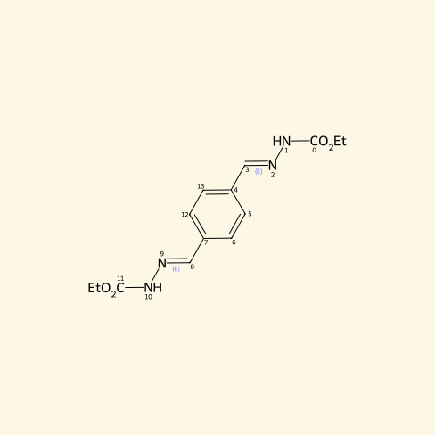 CCOC(=O)N/N=C/c1ccc(/C=N/NC(=O)OCC)cc1